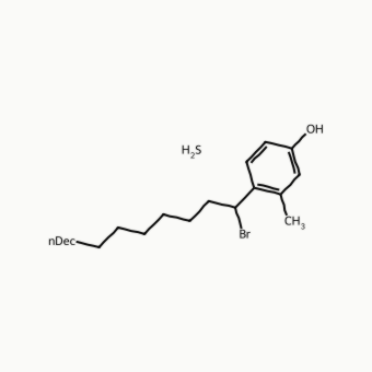 CCCCCCCCCCCCCCCCC(Br)c1ccc(O)cc1C.S